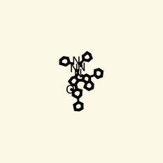 c1ccc(-c2ccc3c(c2)oc2ccc4c(c23)c2c3ccccc3c(-c3ccccc3)cc2n4-c2nc(-c3ccccc3)nc(-c3ccccc3)n2)cc1